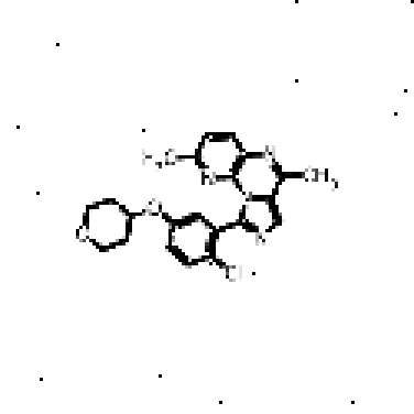 Cc1ccc2nc(C)c3cnc(-c4cc(OC5CCOCC5)ccc4Cl)n3c2n1